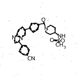 CS(=O)(=O)NC1CCN(C(=O)c2ccc(-c3ccc4ncc(-c5ccc(C#N)cc5)n4c3)cc2)CC1